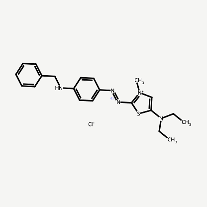 CCN(CC)c1c[n+](C)c(/N=N/c2ccc(NCc3ccccc3)cc2)s1.[Cl-]